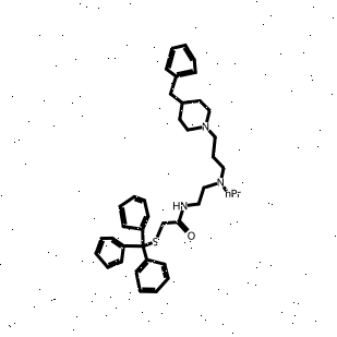 CCCN(CCCN1CCC(Cc2ccccc2)CC1)CCNC(=O)CSC(c1ccccc1)(c1ccccc1)c1ccccc1